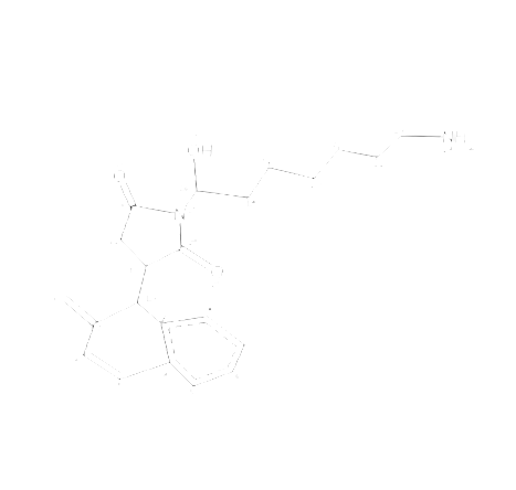 C=C1C=Cc2ccccc2C1C1CC(=O)N(C(O)CCCCCCN)C1=O